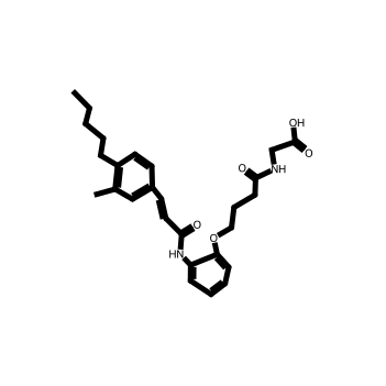 CCCCCc1ccc(C=CC(=O)Nc2ccccc2OCCCC(=O)NCC(=O)O)cc1C